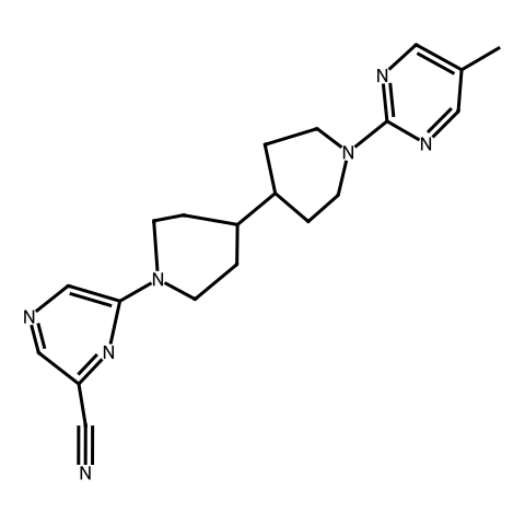 Cc1cnc(N2CCC(C3CCN(c4cncc(C#N)n4)CC3)CC2)nc1